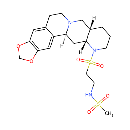 CS(=O)(=O)NCCS(=O)(=O)N1CCC[C@H]2CN3CCc4cc5c(cc4[C@@H]3C[C@H]21)OCO5